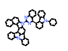 c1ccc(-n2c3ccccc3c3c(-c4nc(-n5c6ccc7ccccc7c6c6c7c8ccccc8n8c9ccccc9c(cc65)c78)nc5ccccc45)cccc32)cc1